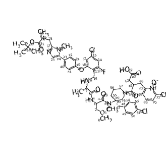 COCC(NC(=O)C(C)NCc1c(F)cc(Cl)cc1Oc1ccc(-c2cnc(CN(C)C(=O)OC(C)(C)C)n2C)cc1)C(=O)N(C)[C@@]1(Cc2ccc(Cl)cc2)CCCN(C(=O)C(CC(=O)O)Cc2cccc(C)[n+]2[O-])C1